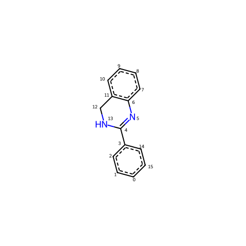 c1ccc(C2=Nc3ccccc3CN2)cc1